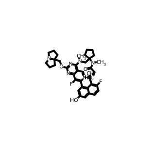 C#Cc1c(F)ccc2cc(O)cc(-c3ncc4c(N(C)CC5(N(C)C(=O)C=C)CCCC5)nc(OCC56CCCN5CCC6)nc4c3F)c12